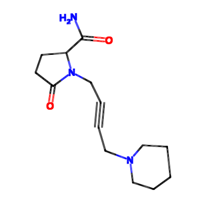 NC(=O)C1CCC(=O)N1CC#CCN1CCCCC1